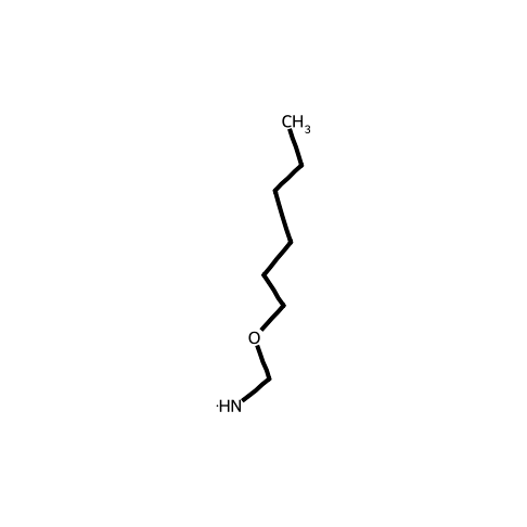 CCCCCCOC[NH]